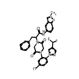 Cn1cc2cc(NC(=O)C(Cc3ccccc3)N3CC(=O)N(c4cc(Cl)ccc4-n4cc(C(F)F)cn4)CC3=O)ccc2n1